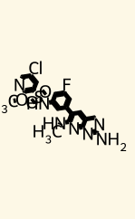 CNc1nc2nc(N)ncc2cc1-c1cc(F)cc(NS(=O)(=O)c2cc(Cl)cnc2OC)c1